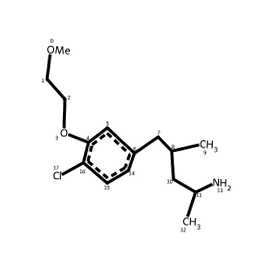 COCCOc1cc(CC(C)CC(C)N)ccc1Cl